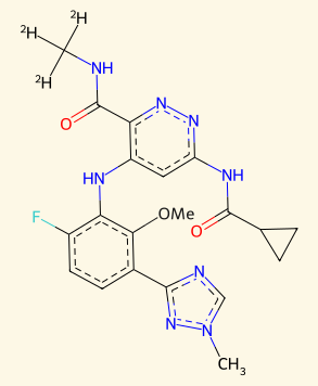 [2H]C([2H])([2H])NC(=O)c1nnc(NC(=O)C2CC2)cc1Nc1c(F)ccc(-c2ncn(C)n2)c1OC